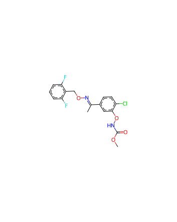 COC(=O)NOc1cc(/C(C)=N/OCc2c(F)cccc2F)ccc1Cl